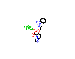 Cl.Cl.N[C@@H](COc1ccc2nccn2c1C(=O)O)Cc1ccccc1